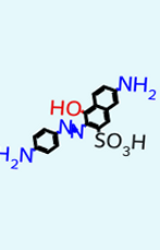 Nc1ccc(N=Nc2c(S(=O)(=O)O)cc3cc(N)ccc3c2O)cc1